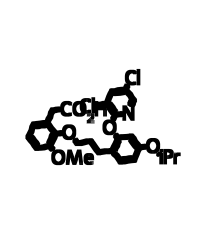 COc1cccc(CC(=O)O)c1OCCCc1ccc(OC(C)C)cc1Oc1ncc(Cl)cc1Cl